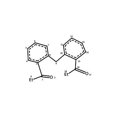 CCC(=O)c1ccccc1Cc1ccccc1C(=O)CC